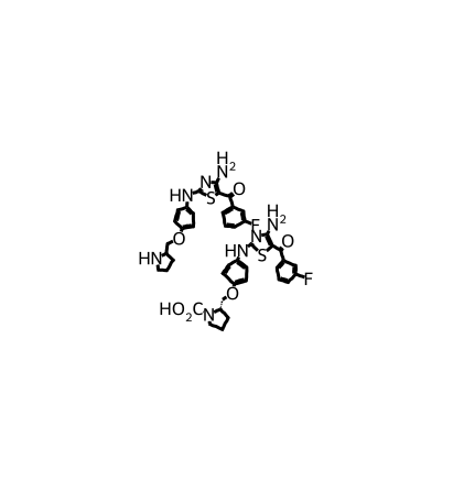 Nc1nc(Nc2ccc(OCC3CCCN3)cc2)sc1C(=O)c1cccc(F)c1.Nc1nc(Nc2ccc(OC[C@@H]3CCCN3C(=O)O)cc2)sc1C(=O)c1cccc(F)c1